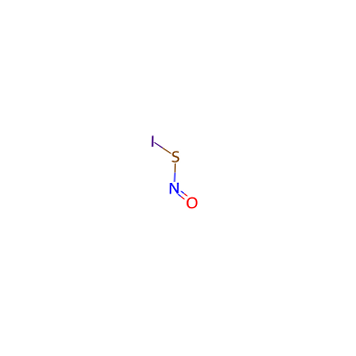 O=NSI